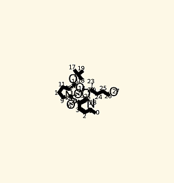 Cc1ccc(S(=O)(=O)N2CCC[C@H]2C(=O)OC(C)(C)C)c(O[C@H](C)CCC=O)n1